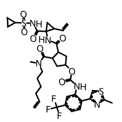 C=CCCCCN(C)C(=O)C1CC(OC(=O)Nc2cc(C(F)(F)F)ccc2-c2csc(C)n2)CC1C(=O)NC1(C(=O)NS(=O)(=O)C2CC2)CC1C=C